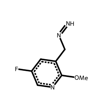 COc1ncc(F)cc1CN=N